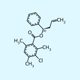 C=CC[C@@H](OC(=O)c1c(C)cc(C)c(Cl)c1C)c1ccccc1